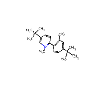 Cc1cc(C(C)(C)C)ccc1-c1ccc([Si](C)(C)C)c[n+]1C